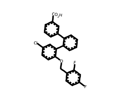 O=C(O)c1cccc(-c2ccccc2-c2cc(Cl)ccc2OCc2ccc(F)cc2F)c1